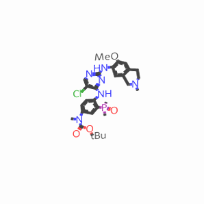 COc1cc2c(cc1Nc1ncc(Cl)c(Nc3ccc(N(C)C(=O)OC(C)(C)C)cc3P(C)(C)=O)n1)CN(C)CC2